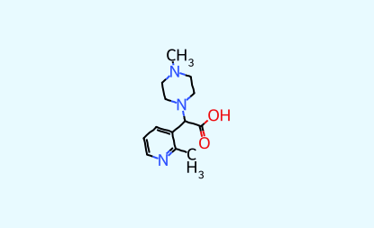 Cc1ncccc1C(C(=O)O)N1CCN(C)CC1